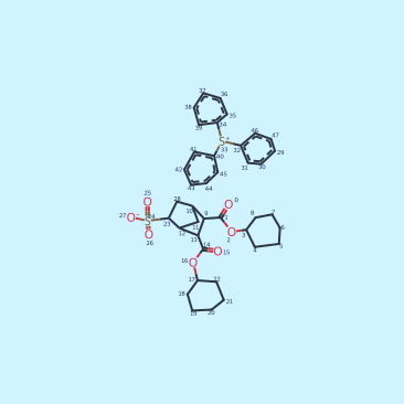 O=C(OC1CCCCC1)C1C2CC(C1C(=O)OC1CCCCC1)C(S(=O)(=O)[O-])C2.c1ccc([S+](c2ccccc2)c2ccccc2)cc1